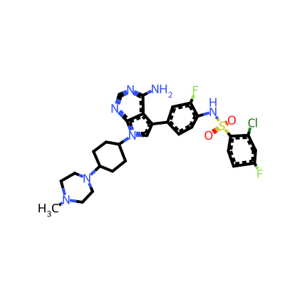 CN1CCN(C2CCC(n3cc(-c4ccc(NS(=O)(=O)c5ccc(F)cc5Cl)c(F)c4)c4c(N)ncnc43)CC2)CC1